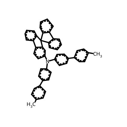 Cc1ccc(-c2ccc(N(c3ccc(-c4ccc(C)cc4)cc3)c3ccc4c(c3)C3(c5ccccc5-c5ccccc53)c3ccccc3-4)cc2)cc1